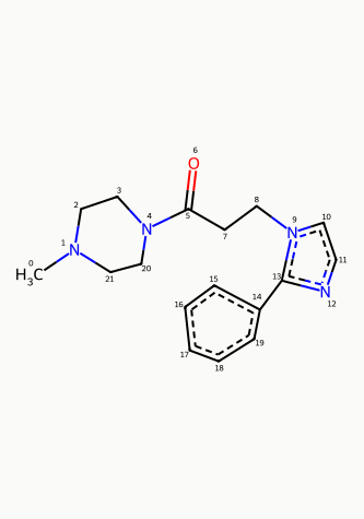 CN1CCN(C(=O)CCn2ccnc2-c2ccccc2)CC1